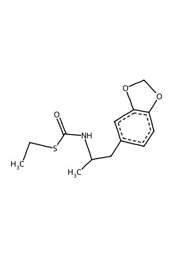 CCSC(=O)NC(C)Cc1ccc2c(c1)OCO2